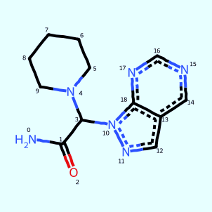 NC(=O)C(N1CCCCC1)n1ncc2cncnc21